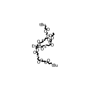 C=CC(=O)OCCOC(=O)CCSCC(=O)OCC(CC)(COC(=O)CSCCC(=O)OCCOC(=O)CCC(C)(C)C)COC(=O)CSCCC(=O)OCCOC(=O)CCC(C)(C)C